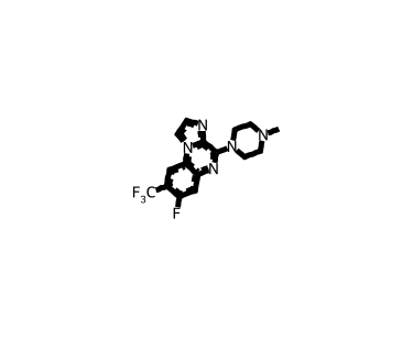 CN1CCN(c2nc3cc(F)c(C(F)(F)F)cc3n3ccnc23)CC1